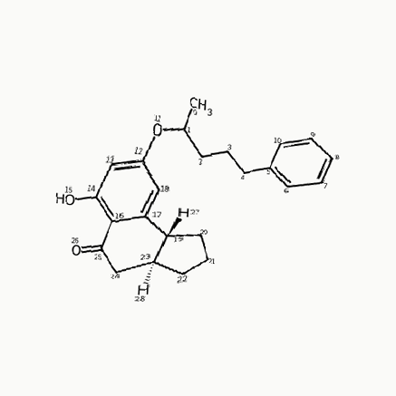 CC(CCCc1ccccc1)Oc1cc(O)c2c(c1)[C@@H]1CCC[C@H]1CC2=O